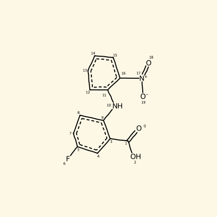 O=C(O)c1cc(F)ccc1Nc1ccccc1[N+](=O)[O-]